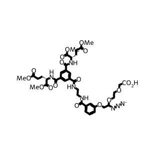 COC(=O)CC[C@H](NC(=O)c1cc(C(=O)NCCNC(=O)c2cccc(OCC(N=[N+]=[N-])OCCOCC(=O)O)c2)cc(C(=O)N[C@@H](CCC(=O)OC)C(=O)OC)c1)C(=O)OC